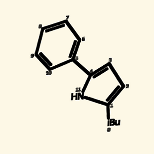 CCC(C)c1ccc(-c2ccccc2)[nH]1